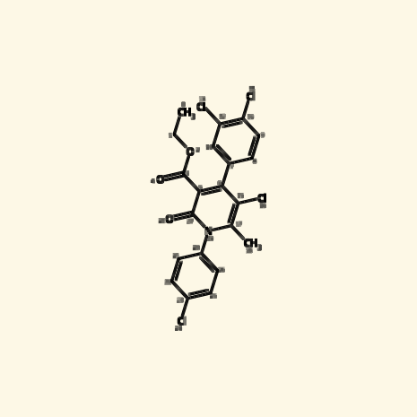 CCOC(=O)c1c(-c2ccc(Cl)c(Cl)c2)c(Cl)c(C)n(-c2ccc(Cl)cc2)c1=O